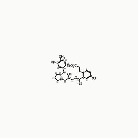 CCOC(=O)CCc1ccc(Cl)cc1[C@@H](CC)OC[C@H](O)CN1CCC[C@H]1Cc1ccc(C)c(F)c1